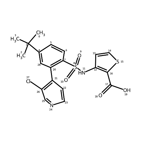 CC(C)(C)c1ccc(S(=O)(=O)Nc2ccsc2C(=O)O)c(-c2ccncc2Cl)c1